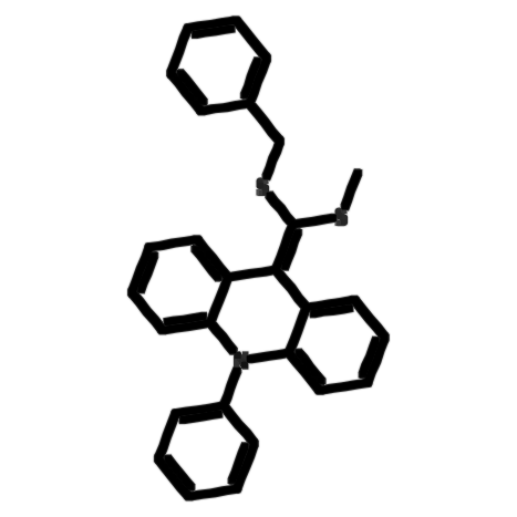 CSC(SCc1ccccc1)=C1c2ccccc2N(c2ccccc2)c2ccccc21